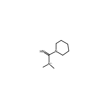 C[N+](C)C(=N)N1CCCCC1